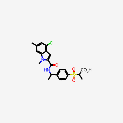 Cc1cc(Cl)c2cc(C(=O)NC(C)c3ccc(S(=O)(=O)C(C)C(=O)O)cc3)n(C)c2c1